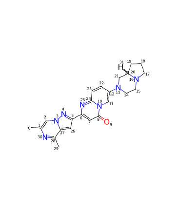 Cc1cn2nc(-c3cc(=O)n4cc(N5CCN6CCC[C@H]6C5)ccc4n3)cc2c(C)n1